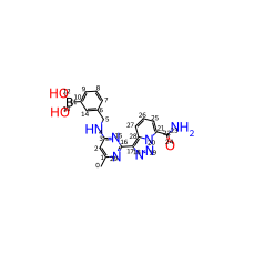 Cc1cc(NCc2cccc(B(O)O)c2)nc(-c2nnn3c(C(N)=O)cccc23)n1